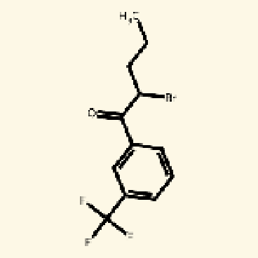 CCCC(Br)C(=O)c1cccc(C(F)(F)F)c1